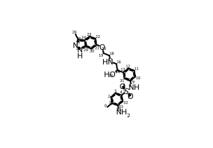 Cc1ccc(S(=O)(=O)Nc2cccc([C@@H](O)CNCCOc3ccc4c(C)n[nH]c4c3)c2)cc1N